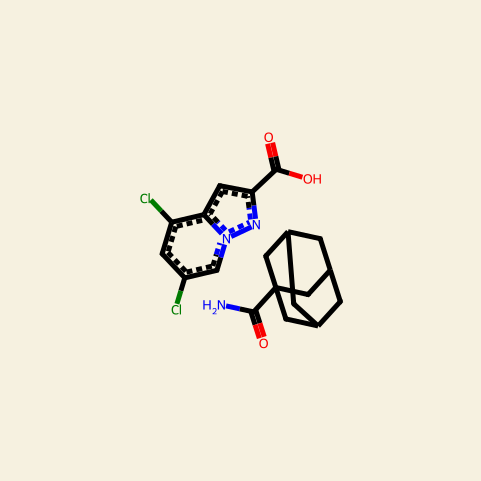 NC(=O)C12CC3CC(CC(C3)C1)C2.O=C(O)c1cc2c(Cl)cc(Cl)cn2n1